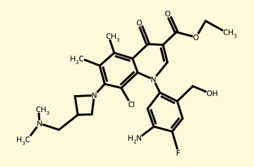 CCOC(=O)c1cn(-c2cc(N)c(F)cc2CO)c2c(Cl)c(N3CC(CN(C)C)C3)c(C)c(C)c2c1=O